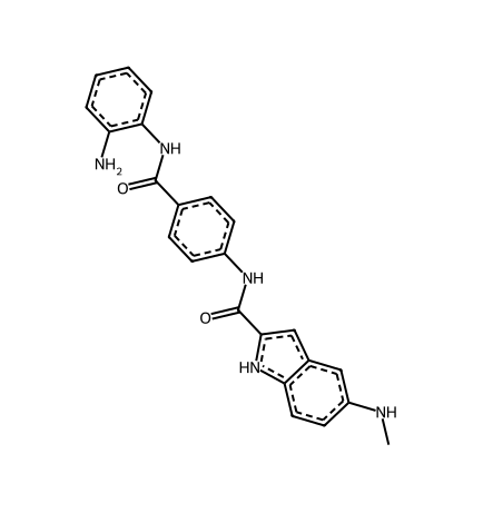 CNc1ccc2[nH]c(C(=O)Nc3ccc(C(=O)Nc4ccccc4N)cc3)cc2c1